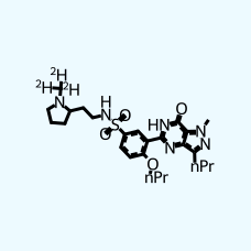 [2H]C([2H])([2H])N1CCCC1CCNS(=O)(=O)c1ccc(OCCC)c(-c2nc3c(CCC)nn(C)c3c(=O)[nH]2)c1